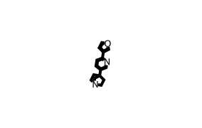 c1cc(-c2ccc(C34CCN(CC3)C4)cn2)co1